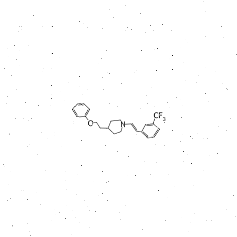 FC(F)(F)c1cccc(C=CN2CCC(CCOc3ccccc3)CC2)c1